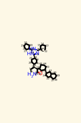 C/C=C(/c1ccc(C2=NC(c3ccccc3)NC(c3ccccc3)N2)cc1)c1c(N)oc2c(-c3ccc4ccccc4c3)cccc12